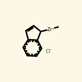 [CH3][Zr+][CH]1C=Cc2ccccc21.[Cl-]